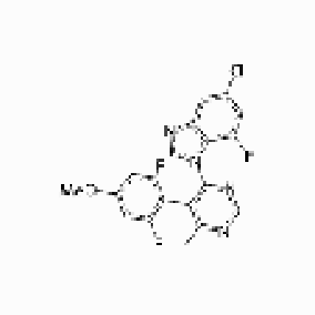 COc1cc(F)c(-c2c(C)ncnc2-n2cnc3cc(Cl)cc(F)c32)c(F)c1